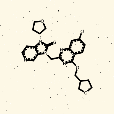 O=c1n(Cc2nc(OCC3CCOC3)c3ccc(Cl)cc3n2)c2cnccc2n1[C@@H]1CCOC1